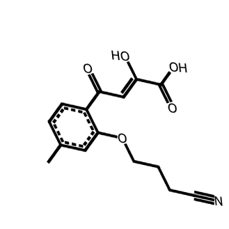 Cc1ccc(C(=O)/C=C(\O)C(=O)O)c(OCCCC#N)c1